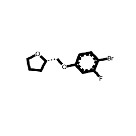 Fc1cc(OC[C@@H]2CCCO2)ccc1Br